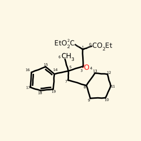 CCOC(=O)C(C(=O)OCC)C(=O)C(C)(CC1CCCCC1)c1ccccc1